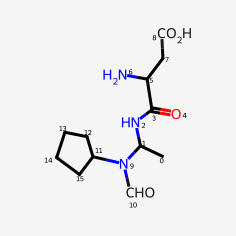 CC(NC(=O)C(N)CC(=O)O)N(C=O)C1CCCC1